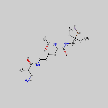 CCC(CC)([SiH2]NC(=O)C(CCCCNC(=O)C(C)CN)NC(C)=O)SI